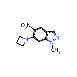 Cn1ncc2cc([N+](=O)[O-])c(N3CCC3)cc21